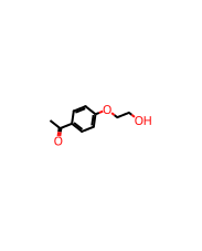 CC(=O)c1ccc(OCCO)cc1